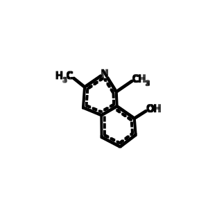 Cc1cc2cccc(O)c2c(C)n1